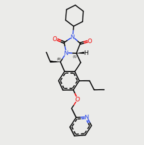 CCCc1c(OCc2ccccn2)ccc2c1C[C@H]1C(=O)N(C3CCCCC3)C(=O)N1[C@@H]2CC